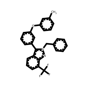 Cc1cccc(Oc2cccc(-c3c4cccc(C(F)(F)F)c4nn3Cc3ccccc3)c2)c1